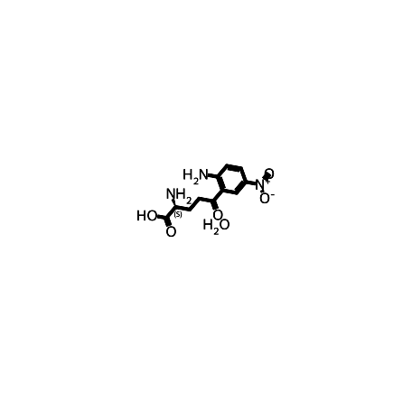 Nc1ccc([N+](=O)[O-])cc1C(=O)CC[C@H](N)C(=O)O.O